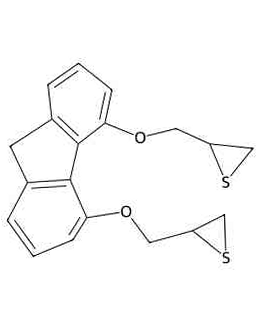 c1cc2c(c(OCC3CS3)c1)-c1c(cccc1OCC1CS1)C2